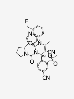 CC1=C(C#N)[C@@H](c2ccc(C#N)cc2S(C)(=O)=O)N(C(=O)N2CCCC2c2cccnc2)C(=O)N1c1cccc(CF)c1